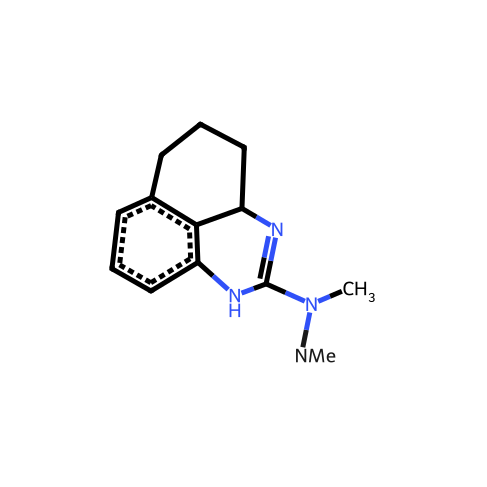 CNN(C)C1=NC2CCCc3cccc(c32)N1